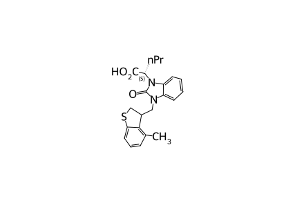 CCC[C@@H](C(=O)O)n1c(=O)n(CC2CSc3cccc(C)c32)c2ccccc21